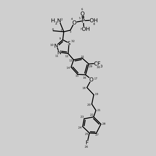 CC(N)(COP(=O)(O)O)c1nnc(-c2ccc(OCCCCc3ccc(F)cc3)c(C(F)(F)F)c2)s1